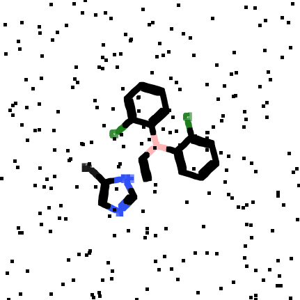 C=CB(c1ccccc1Cl)c1ccccc1Cl.CCc1cnc[nH]1